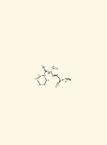 [CH2][C@H](N=CC(=O)OC)C(=O)C1CCCCC1